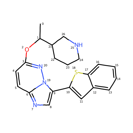 CC(Oc1ccc2ncc(-c3cc4ccccc4s3)n2n1)C1CCCNC1